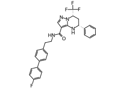 O=C(NCCc1ccc(-c2ccc(F)cc2)cc1)c1cnn2c1N[C@@H](c1ccccc1)C[C@H]2C(F)(F)F